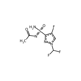 CC(=O)N=S(N)(=O)c1nn(C(F)F)cc1F